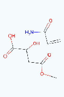 C=CC(N)=O.COC(=O)CC(O)C(=O)O